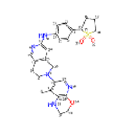 Cc1c(N2CCc3cnc(Nc4ccc(C5CCCS5(=O)=O)cc4)cc3C2)cnc2c1NCCO2